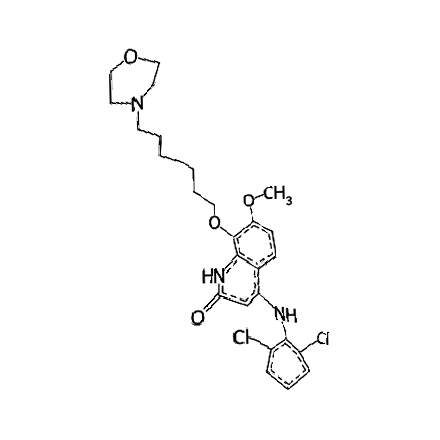 COc1ccc2c(Nc3c(Cl)cccc3Cl)cc(=O)[nH]c2c1OCCCCCCN1CCOCC1